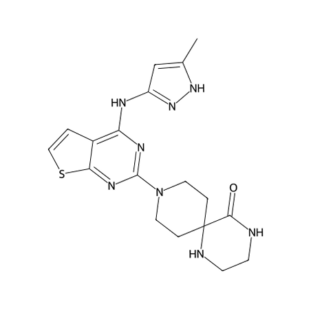 Cc1cc(Nc2nc(N3CCC4(CC3)NCCNC4=O)nc3sccc23)n[nH]1